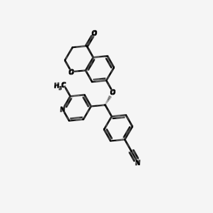 Cc1cc([C@H](Oc2ccc3c(c2)OCCC3=O)c2ccc(C#N)cc2)ccn1